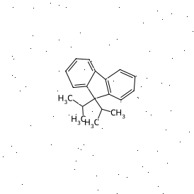 CC(C)C1(C(C)C)c2[c]cccc2-c2ccccc21